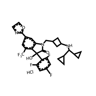 Cl.O=C1N(CC2CC(NC(C3CC3)C3CC3)C2)c2cc(-c3ncco3)cc(C(F)(F)F)c2C1(O)c1c(F)cc(F)cc1F